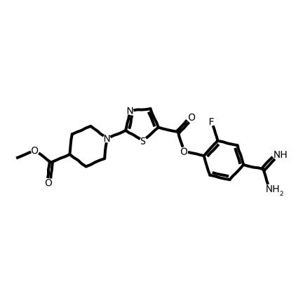 COC(=O)C1CCN(c2ncc(C(=O)Oc3ccc(C(=N)N)cc3F)s2)CC1